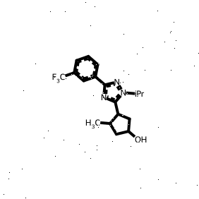 CC1CC(O)CC1c1nc(-c2cccc(C(F)(F)F)c2)nn1C(C)C